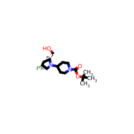 CC(C)(C)OC(=O)N1CCC(N2C[C@H](F)C[C@@H]2CO)CC1